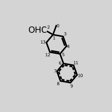 CC1(C=O)C=CC(c2ccccc2)=CC1